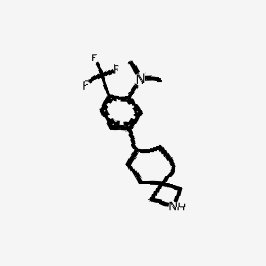 CN(C)c1cc(C2CCC3(CC2)CNC3)ccc1C(F)(F)F